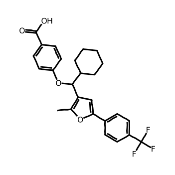 Cc1oc(-c2ccc(C(F)(F)F)cc2)cc1C(Oc1ccc(C(=O)O)cc1)C1CCCCC1